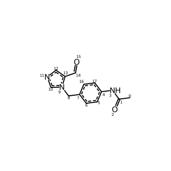 CC(=O)Nc1ccc(Cn2cncc2C=O)cc1